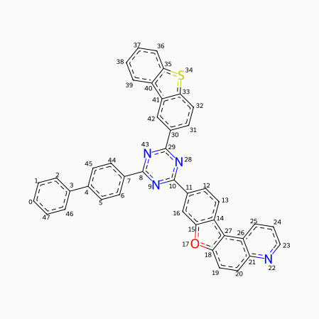 c1ccc(-c2ccc(-c3nc(-c4ccc5c(c4)oc4ccc6ncccc6c45)nc(-c4ccc5sc6ccccc6c5c4)n3)cc2)cc1